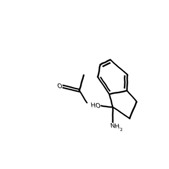 CC(C)=O.NC1(O)CCc2ccccc21